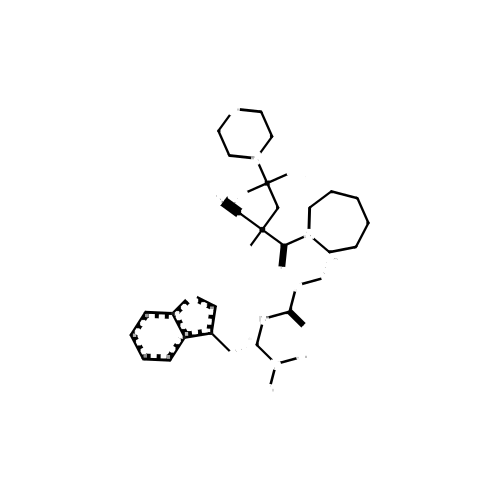 CC(C#N)(CC(C)(C)N1CCOCC1)C(=O)N1CCCCC[C@@H]1COC(=O)N[C@@H](Cc1coc2ccccc12)B(O)O